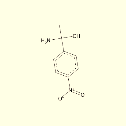 CC(N)(O)c1ccc([N+](=O)[O-])cc1